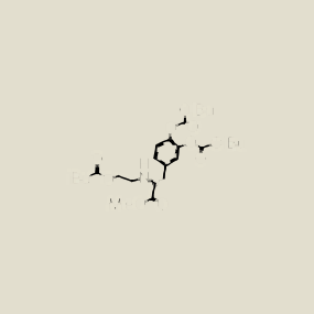 CCC(C)C(=O)OCCN[C@@H](Cc1ccc(OC(=O)OCC(C)C)c(OC(=O)OCC(C)C)c1)C(=O)OC